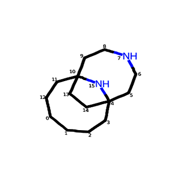 C1CCCC23CCNCCC(CC1)(CC2)N3